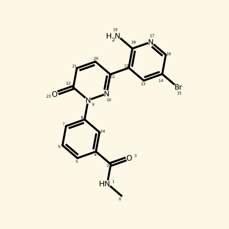 CNC(=O)c1cccc(-n2nc(-c3cc(Br)cnc3N)ccc2=O)c1